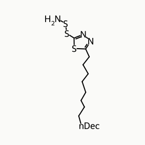 CCCCCCCCCCCCCCCCCCc1nnc(SSN)s1